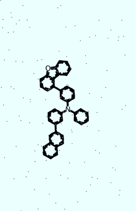 c1ccc(N(c2cccc(-c3ccc4ccccc4c3)c2)c2cccc(-c3cccc4oc5ccccc5c34)c2)cc1